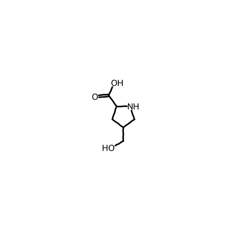 O=C(O)C1CC(CO)CN1